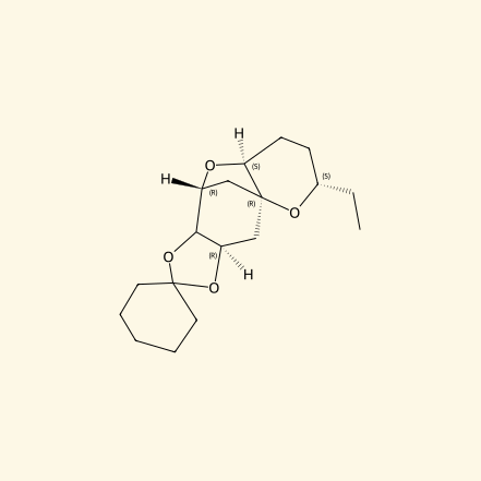 CC[C@H]1CC[C@@H]2O[C@@H]3C[C@]2(C[C@H]2OC4(CCCCC4)OC32)O1